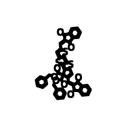 O=C1C(=CC2=Cc3sc4c(sc5cc(C=C6C(=O)c7ccccc7C6=O)sc54)c3C2(C(=O)OCc2ccccc2)C(=O)OCc2ccccc2)C(=O)c2ccccc21